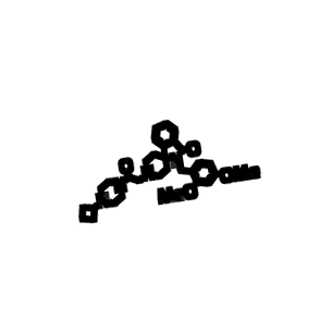 COc1ccc(CN2C(=O)c3ccccc3C23CCN(CC(=O)N2CCN(C4CCC4)CC2)CC3)c(OC)c1